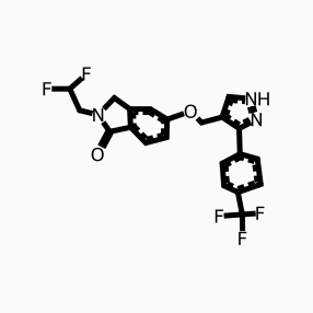 O=C1c2ccc(OCc3c[nH]nc3-c3ccc(C(F)(F)F)cc3)cc2CN1CC(F)F